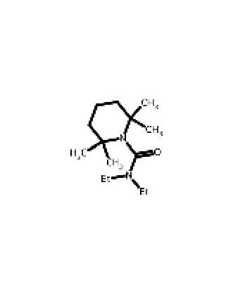 CCN(CC)C(=O)N1C(C)(C)CCCC1(C)C